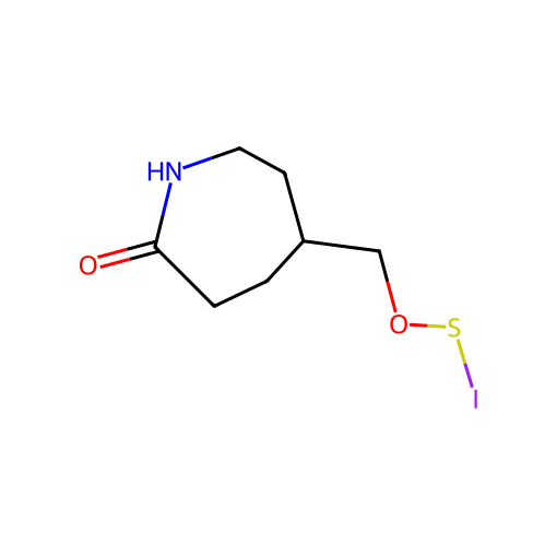 O=C1CCC(COSI)CCN1